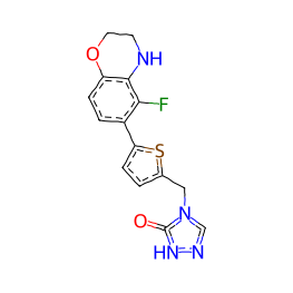 O=c1[nH]ncn1Cc1ccc(-c2ccc3c(c2F)NCCO3)s1